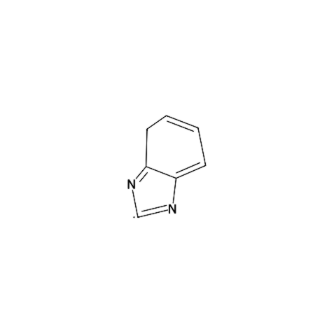 [C]1=NC2=CC=CCC2=N1